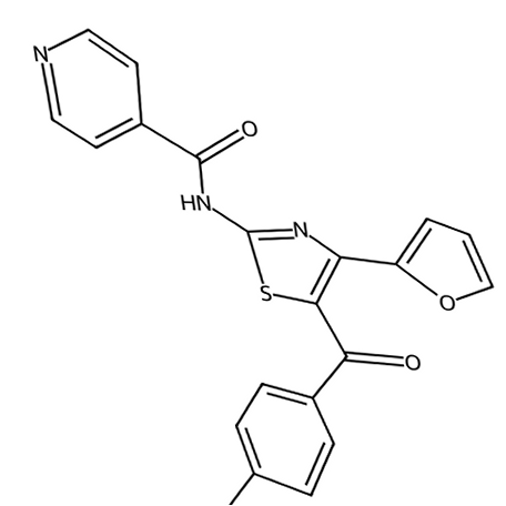 O=C(Nc1nc(-c2ccco2)c(C(=O)c2ccc(Cl)cc2)s1)c1ccncc1